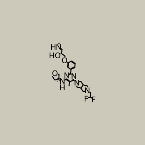 CNCC(O)COc1cccc(-c2nc(N[C@@H]3CCOC3)c(C)c(N3CC4CN(CC(F)F)CC4C3)n2)c1